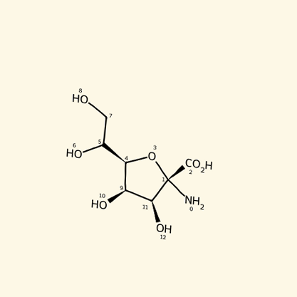 N[C@@]1(C(=O)O)O[C@H](C(O)CO)[C@H](O)[C@@H]1O